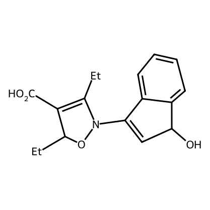 CCC1=C(C(=O)O)C(CC)ON1C1=CC(O)c2ccccc21